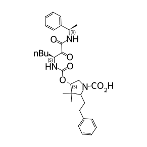 CCCC[C@H](NC(=O)O[C@@H]1CN(C(=O)O)C(CCc2ccccc2)C1(C)C)C(=O)C(=O)N[C@H](C)c1ccccc1